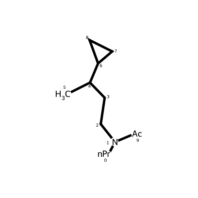 CCCN(CCC(C)C1CC1)C(C)=O